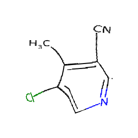 Cc1c(C#N)[c]ncc1Cl